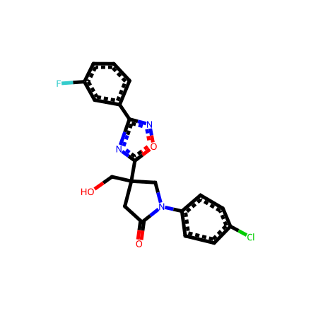 O=C1CC(CO)(c2nc(-c3cccc(F)c3)no2)CN1c1ccc(Cl)cc1